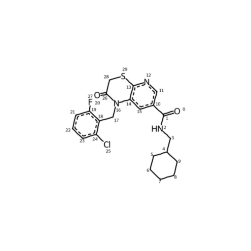 O=C(NCC1CCCCC1)c1cnc2c(c1)N(Cc1c(F)cccc1Cl)C(=O)CS2